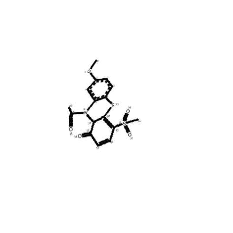 COc1ccc2c(c1)N(C(C)=O)C1C(=O)C=CC(S(C)(=O)=O)=C1S2